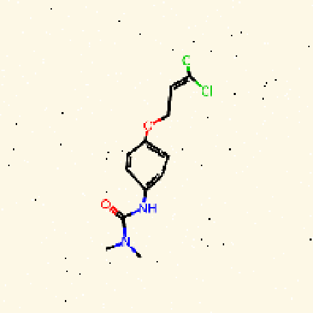 CN(C)C(=O)Nc1ccc(OCC=C(Cl)Cl)cc1